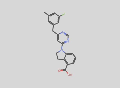 Cc1cc(F)cc(Cc2cc(N3CCc4c(C(=O)O)cccc43)ncn2)c1